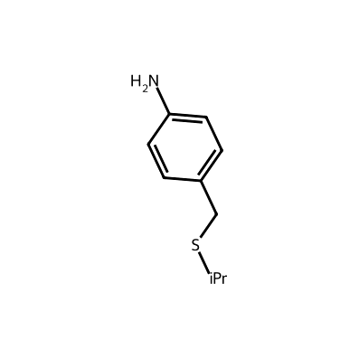 CC(C)SCc1ccc(N)cc1